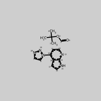 CC(C)(C)OC=O.c1cn(-c2ccnc3[nH]ccc23)nn1